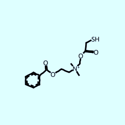 C[N+](C)(CCOC(=O)c1ccccc1)COC(=O)CS